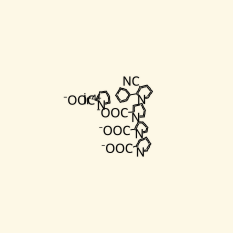 N#Cc1cccnc1-c1ccccc1.O=C([O-])c1ccccn1.O=C([O-])c1ccccn1.O=C([O-])c1ccccn1.O=C([O-])c1ccccn1.[Ir+4]